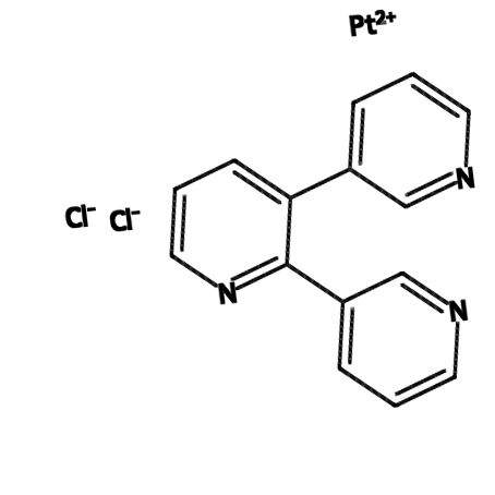 [Cl-].[Cl-].[Pt+2].c1cncc(-c2cccnc2-c2cccnc2)c1